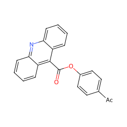 CC(=O)c1ccc(OC(=O)c2c3ccccc3nc3ccccc23)cc1